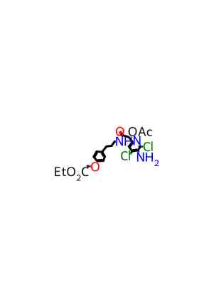 CCOC(=O)COc1ccc(CCCNC(=O)C(OC(C)=O)c2cc(Cl)c(N)c(Cl)n2)cc1